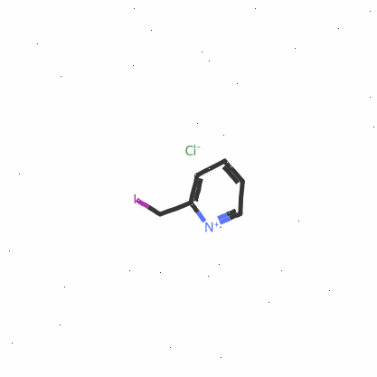 ICC1=CC=CC=[N+]1.[Cl-]